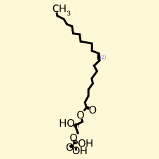 CCCCCCCCCC/C=C\CCCCCCCC(=O)OC[C@@H](O)COP(=O)(O)O